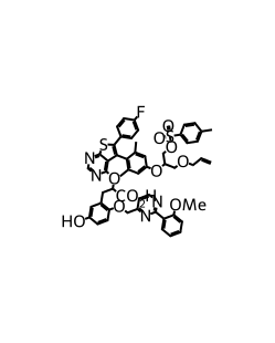 C=CCOCC(COS(=O)(=O)c1ccc(C)cc1)Oc1cc(C)c(-c2c(-c3ccc(F)cc3)sc3ncnc(OC(Cc4cc(O)ccc4OCc4ccnc(-c5ccccc5OC)n4)C(=O)O)c23)c(C)c1